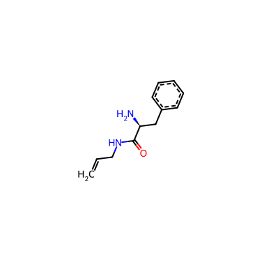 C=CCNC(=O)[C@@H](N)Cc1ccccc1